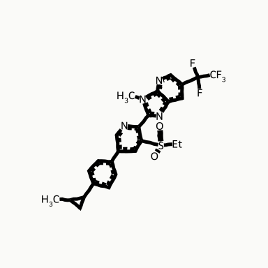 CCS(=O)(=O)c1cc(-c2ccc(C3CC3C)cc2)cnc1-c1nc2cc(C(F)(F)C(F)(F)F)cnc2n1C